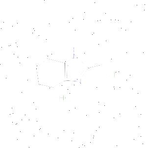 Cl.ClCc1nc2c([nH]1)CCCC2